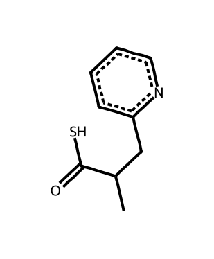 CC(Cc1ccccn1)C(=O)S